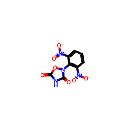 O=c1[nH]c(=O)n(-c2c([N+](=O)[O-])cccc2[N+](=O)[O-])o1